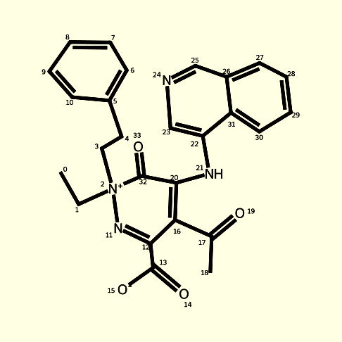 CC[N+]1(CCc2ccccc2)N=C(C(=O)[O-])C(C(C)=O)=C(Nc2cncc3ccccc23)C1=O